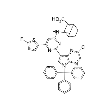 O=C(O)C1C2CCC(CC2)C1Nc1cc(-c2ccc(F)s2)nc(-c2cn(C(c3ccccc3)(c3ccccc3)c3ccccc3)c3ncc(Cl)nc23)n1